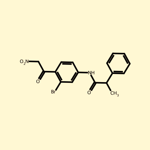 CC(C(=O)Nc1ccc(C(=O)C[N+](=O)[O-])c(Br)c1)c1ccccc1